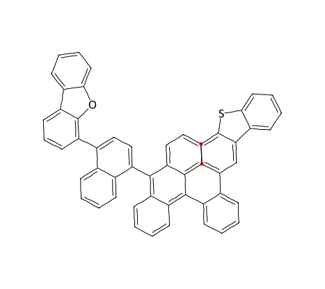 c1ccc(-c2c3ccccc3c(-c3ccc(-c4cccc5c4oc4ccccc45)c4ccccc34)c3ccccc23)c(-c2ccc3sc4ccccc4c3c2)c1